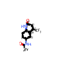 CC(C)C(=O)Nc1ccc2[nH]c(=O)cc(C(F)(F)F)c2c1